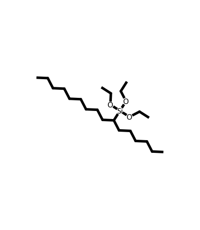 CCCCCCCCCC(CCCCCC)[Si](OCC)(OCC)OCC